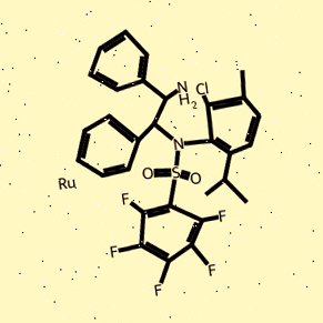 Cc1ccc(C(C)C)c(N(C(c2ccccc2)C(N)c2ccccc2)S(=O)(=O)c2c(F)c(F)c(F)c(F)c2F)c1Cl.[Ru]